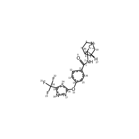 O=C(N[C@H]1CN2CCC1CC2)c1ccc(Oc2nnc(C(F)(F)F)s2)cc1